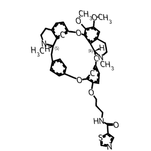 COc1cc2c3c(c1OC)Oc1ccc4c(c1)[C@H](Cc1ccc(cc1)Oc1cc(ccc1OCCCNC(=O)c1cncs1)C[C@H]3N(C)CC2)N(C)CC4